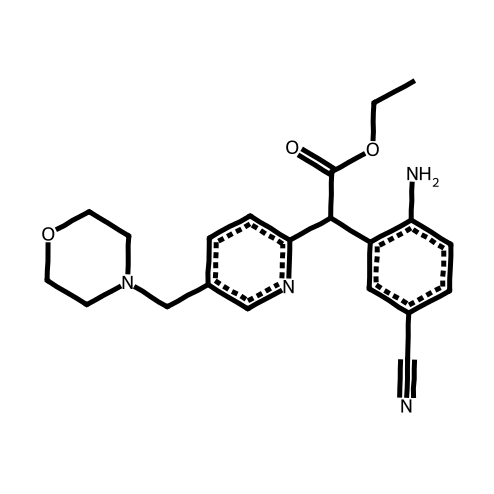 CCOC(=O)C(c1ccc(CN2CCOCC2)cn1)c1cc(C#N)ccc1N